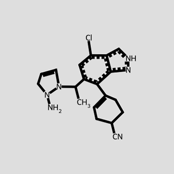 CC(c1cc(Cl)c2c[nH]nc2c1C1=CCC(C#N)CC1)N1C=CCN1N